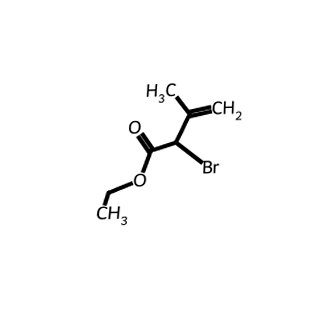 C=C(C)C(Br)C(=O)OCC